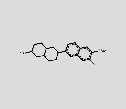 CCCCC1CCC2CC(c3ccc4cc(OC)c(F)cc4c3)CCC2C1